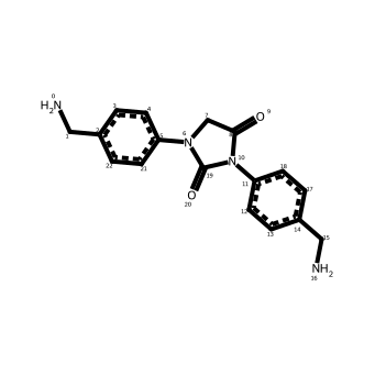 NCc1ccc(N2CC(=O)N(c3ccc(CN)cc3)C2=O)cc1